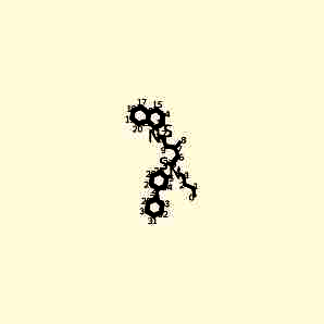 CCCCN1C(=C/C(C)=C/c2nc3c(ccc4ccccc43)s2)Sc2ccc(-c3ccccc3)cc21